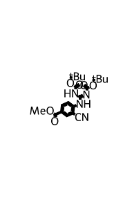 COC(=O)c1ccc(N/C(=N/C(=O)OC(C)(C)C)NC(=O)OC(C)(C)C)c(C#N)c1